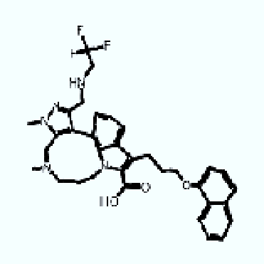 CN1CCCn2c(C(=O)O)c(CCCOc3cccc4ccccc34)c3cccc(c32)-c2c(CNCC(F)(F)F)nn(C)c2C1